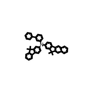 CC1(C)c2ccccc2-c2ccc(N(c3cccc(-c4ccccc4)c3)c3ccc4c(c3)C(C)(C)c3cc5ccccc5cc3-4)cc21